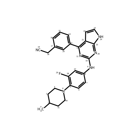 CC1CCN(c2ccc(Nc3nc(-c4cccc(CC#N)c4)c4cc[nH]c4n3)cc2F)CC1